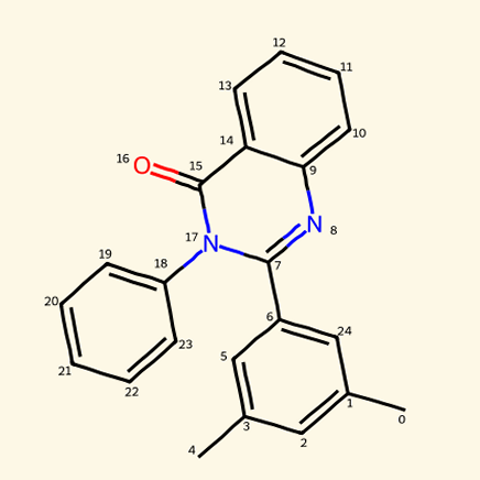 Cc1cc(C)cc(-c2nc3ccccc3c(=O)n2-c2ccccc2)c1